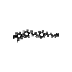 N#CC=CCC[C@H]1CC[C@H](CCCC[C@H]2CC[C@H](c3ccc(F)c(F)c3)CC2)CC1